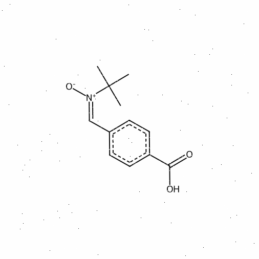 CC(C)(C)/[N+]([O-])=C\c1ccc(C(=O)O)cc1